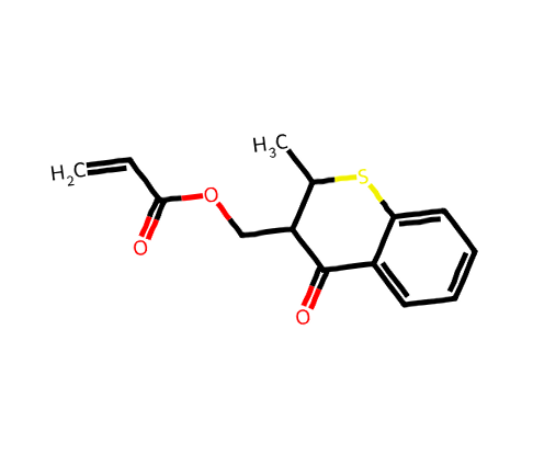 C=CC(=O)OCC1C(=O)c2ccccc2SC1C